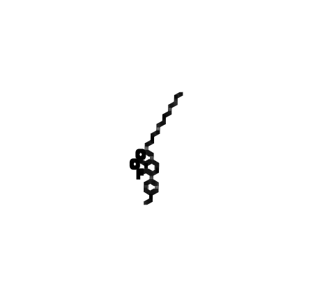 CCCCCCCCCCCCc1cc2ccc(-c3ccc(CC)cc3)c(F)c2c(=O)o1